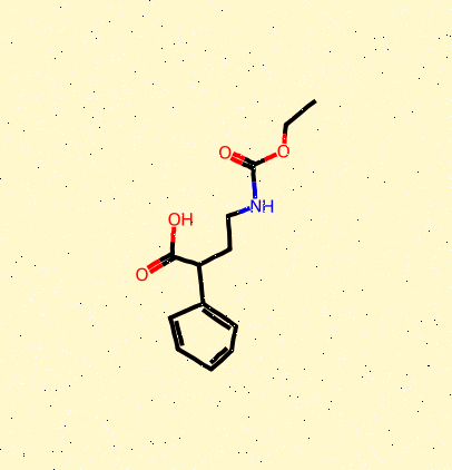 CCOC(=O)NCCC(C(=O)O)c1ccccc1